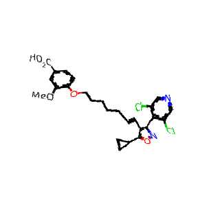 COc1cc(C(=O)O)ccc1OCCCCC/C=C/c1c(-c2c(Cl)cncc2Cl)noc1C1CC1